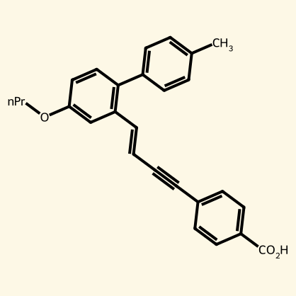 CCCOc1ccc(-c2ccc(C)cc2)c(/C=C/C#Cc2ccc(C(=O)O)cc2)c1